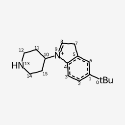 CC(C)(C)c1ccc2c(c1)CC=[N+]2C1CCNCC1